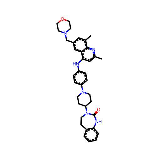 Cc1cc(Nc2ccc(N3CCC(N4CCc5ccccc5NC4=O)CC3)cc2)c2cc(CN3CCOCC3)cc(C)c2n1